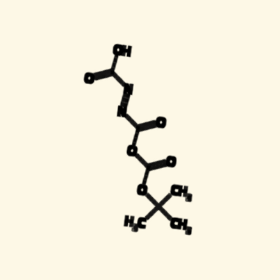 CC(C)(C)OC(=O)OC(=O)N=NC(=O)O